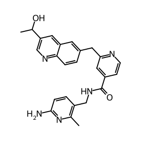 Cc1nc(N)ccc1CNC(=O)c1ccnc(Cc2ccc3ncc(C(C)O)cc3c2)c1